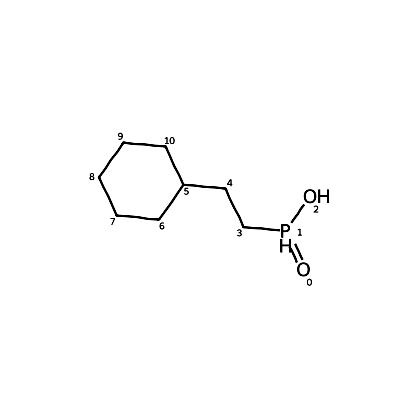 O=[PH](O)CCC1CCCCC1